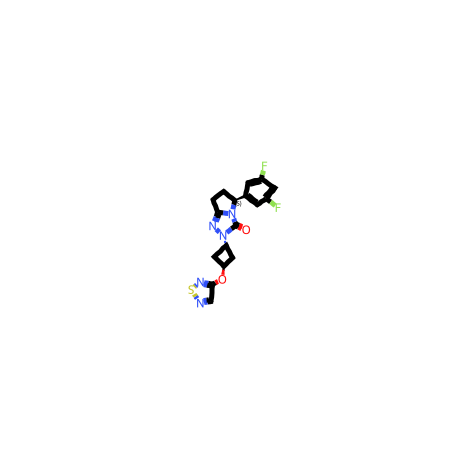 O=c1n2c(nn1[C@H]1C[C@H](Oc3cnsn3)C1)CC[C@H]2c1cc(F)cc(F)c1